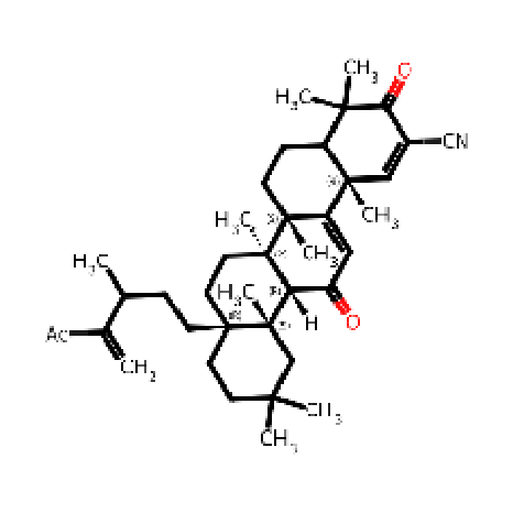 C=C(C(C)=O)C(C)CC[C@]12CCC(C)(C)C[C@@]1(C)[C@H]1C(=O)C=C3[C@@]4(C)C=C(C#N)C(=O)C(C)(C)C4CC[C@@]3(C)[C@]1(C)CC2